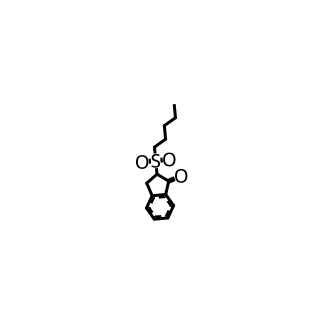 CCCCCS(=O)(=O)C1Cc2ccccc2C1=O